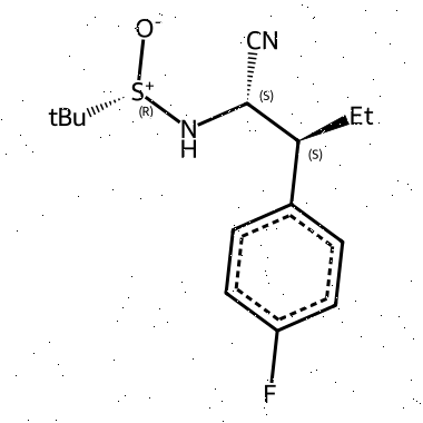 CC[C@@H](c1ccc(F)cc1)[C@@H](C#N)N[S@@+]([O-])C(C)(C)C